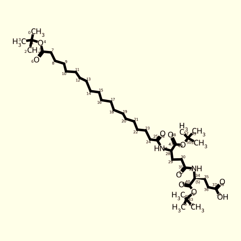 CC(C)(C)OC(=O)CCCCCCCCCCCCCCCCCCC(=O)NC(CCC(=O)N[C@@H](CCC(=O)O)C(=O)OC(C)(C)C)C(=O)OC(C)(C)C